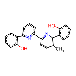 CC1C=CC(c2cccc(-c3ccccc3O)n2)=NC1c1ccccc1O